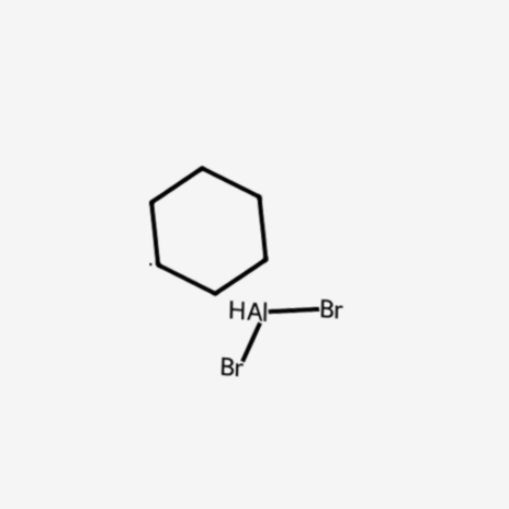 [Br][AlH][Br].[CH]1CCCCC1